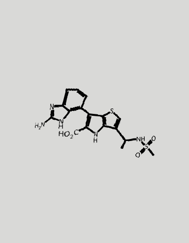 CC(NS(C)(=O)=O)c1csc2c(-c3cccc4nc(N)[nH]c34)c(C(=O)O)[nH]c12